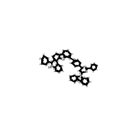 c1ccc(-c2nc(-c3ccc(-c4cccc5c4oc4c6c(ccc45)C(c4ccccc4)Nc4ccccc4-6)cc3)cc(-n3c4ccccc4c4ccccc43)n2)cc1